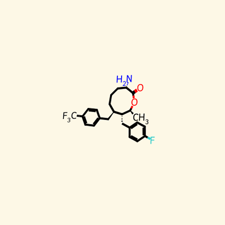 C[C@@H]1OC(=O)[C@@H](N)CCC[C@H](Cc2ccc(C(F)(F)F)cc2)[C@H]1Cc1ccc(F)cc1